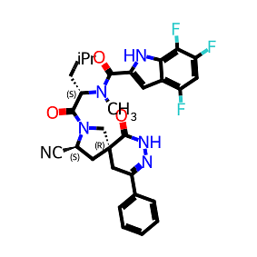 CC(C)C[C@@H](C(=O)N1C[C@]2(CC(c3ccccc3)=NNC2=O)C[C@H]1C#N)N(C)C(=O)c1cc2c(F)cc(F)c(F)c2[nH]1